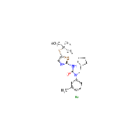 Cc1cc(N(CC2CCCC2)C(=O)Nc2ncc(SC(C)(C)C(=O)O)s2)ccc1Br